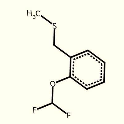 CSCc1ccccc1OC(F)F